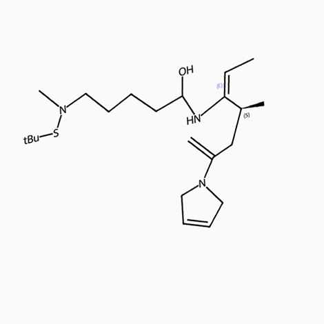 C=C(C[C@H](C)/C(=C\C)NC(O)CCCCN(C)SC(C)(C)C)N1CC=CC1